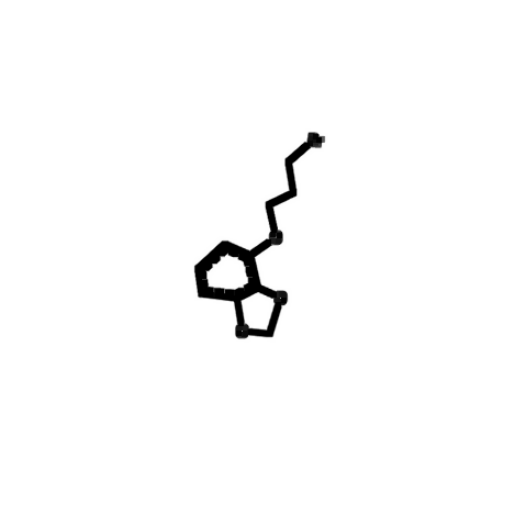 BrCCCOc1cccc2c1OCO2